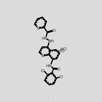 Cl.Cl.O=C(NNc1ccnc2c(NC(=O)c3c(Cl)cccc3Cl)cccc12)c1ccccn1